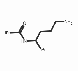 CC(C)C(=O)NC(CCCN)C(C)C